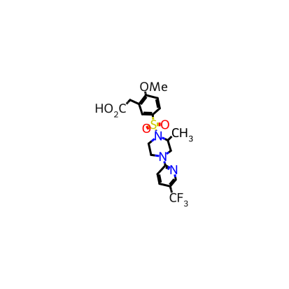 COc1ccc(S(=O)(=O)N2CCN(c3ccc(C(F)(F)F)cn3)CC2C)cc1CC(=O)O